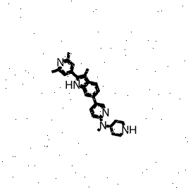 Cc1cc(-c2[nH]c3cc(-c4ccc(N(C)C5CCNCC5)nc4)ccc3c2C)cc(C)n1